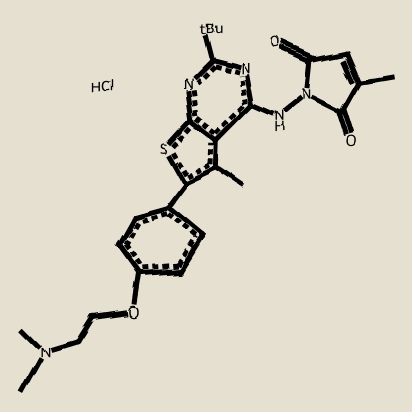 CC1=CC(=O)N(Nc2nc(C(C)(C)C)nc3sc(-c4ccc(OCCN(C)C)cc4)c(C)c23)C1=O.Cl